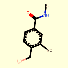 BCc1ccc(C(=O)NCC)cc1N=O